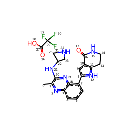 Cc1nc2cccc(-c3cc4c([nH]3)CCNC4=O)c2nc1NC1CNC1.O=C(O)C(F)(F)F